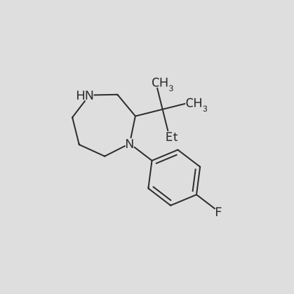 CCC(C)(C)C1CNCCCN1c1ccc(F)cc1